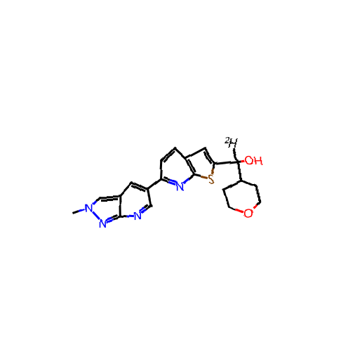 [2H]C(O)(c1cc2ccc(-c3cnc4nn(C)cc4c3)nc2s1)C1CCOCC1